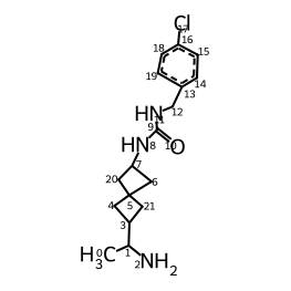 CC(N)C1CC2(CC(NC(=O)NCc3ccc(Cl)cc3)C2)C1